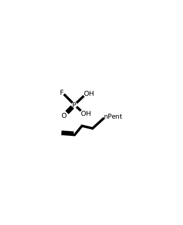 C=CCCCCCCC.O=P(O)(O)F